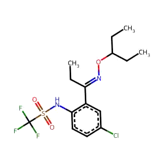 CC/C(=N\OC(CC)CC)c1cc(Cl)ccc1NS(=O)(=O)C(F)(F)F